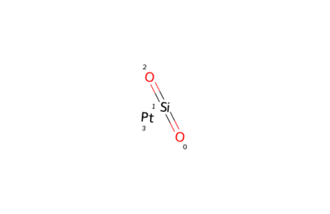 O=[Si]=O.[Pt]